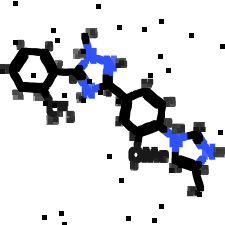 COc1cc(-c2nc(-c3ccccc3C(F)(F)F)n(C)n2)ccc1-n1cnc(C)c1